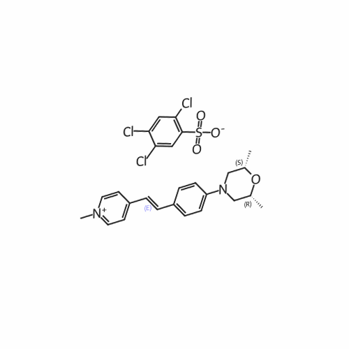 C[C@@H]1CN(c2ccc(/C=C/c3cc[n+](C)cc3)cc2)C[C@H](C)O1.O=S(=O)([O-])c1cc(Cl)c(Cl)cc1Cl